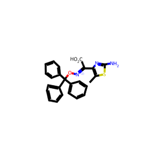 Cc1sc(N)nc1/C(=N/OC(c1ccccc1)(c1ccccc1)c1ccccc1)C(=O)O